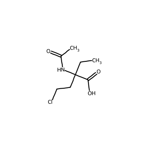 CCC(CCCl)(NC(C)=O)C(=O)O